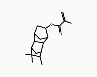 C=C(C)C(=O)OC1CC2CC1C1C3CC(C21)C(C)(C)C3C